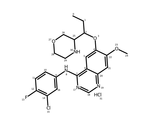 CCC(Oc1cc2c(Nc3ccc(F)c(Cl)c3)ncnc2cc1OC)C1COCCN1.Cl